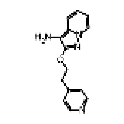 Nc1c(OCCc2ccncc2)nn2ccccc12